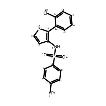 CCCc1ccc(S(=O)(=O)Nc2ccsc2-c2ccccc2Cl)cc1